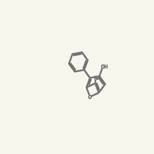 Nc1c2cc(O)c(-c3ccccc3)c1O2